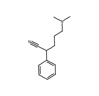 CN(C)CCCC(C#N)c1ccccc1